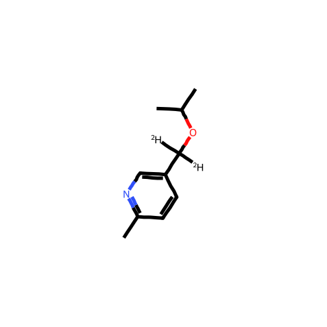 [2H]C([2H])(OC(C)C)c1ccc(C)nc1